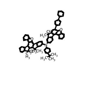 CC(C)(C)c1ccc(N(c2ccc3c(c2)C(C)(C)c2cc(-c4ccc(-c5ccccc5)cc4)c4oc5ccccc5c4c2-3)c2ccc3c(c2)C(C)(C)c2c4c(c5c(oc6ccccc65)c2-3)-c2ccccc2C4(C)C)cc1